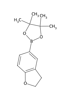 CC1(C)OB(c2ccc3c(c2)CCO3)OC1(C)C